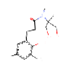 Cc1cc(CCC(=O)N(C)C(C)(CO)CO)c(O)c(C(C)(C)C)c1